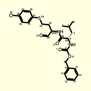 CC(C)C[C@H](NC(=O)OCc1ccccc1)C(=O)NC(C=O)CCSc1ccc(Cl)cc1